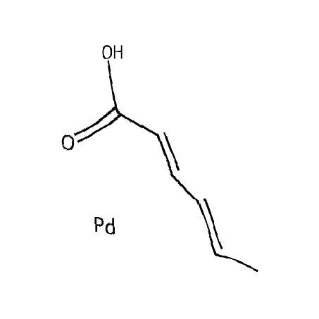 CC=CC=CC(=O)O.[Pd]